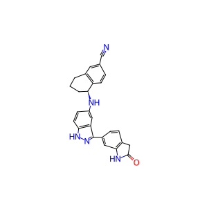 N#Cc1ccc2c(c1)CCC[C@@H]2Nc1ccc2[nH]nc(-c3ccc4c(c3)NC(=O)C4)c2c1